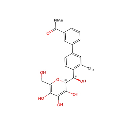 CNC(=O)c1cccc(-c2ccc([C@@H](O)[C@H]3OC(CO)=C(O)C(O)=C3O)c(C(F)(F)F)c2)c1